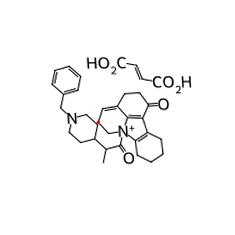 CC(C(=O)[N+]12CCC=C3CCC(=O)C(=C31)C1=C2CCCC1)C1CCN(Cc2ccccc2)CC1.O=C(O)/C=C/C(=O)O